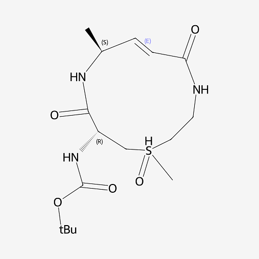 C[C@H]1/C=C/C(=O)NCC[SH](C)(=O)C[C@H](NC(=O)OC(C)(C)C)C(=O)N1